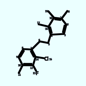 Cc1ccc(CCc2ccc(C)c(F)c2Cl)c(C)c1C